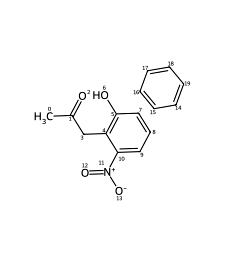 CC(=O)Cc1c(O)cccc1[N+](=O)[O-].c1ccccc1